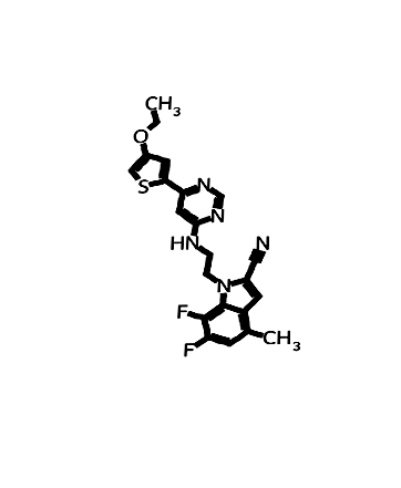 CCOc1csc(-c2cc(NCCn3c(C#N)cc4c(C)cc(F)c(F)c43)ncn2)c1